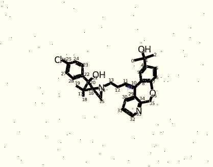 CC(C)(O)c1ccc2c(c1)/C(=C/CCN1CC13C(C)(C)C3(O)c1ccc(Cl)cc1)c1cccnc1CO2